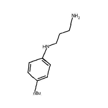 CCCCc1ccc(NCCCN)cc1